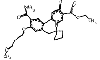 CCOC(=O)c1cn2c(cc1=O)-c1cc(C(N)=O)c(OCCCOC)cc1CC21CCC1